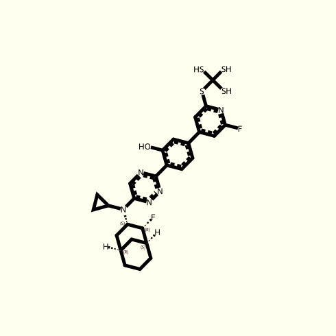 Oc1cc(-c2cc(F)nc(SC(S)(S)S)c2)ccc1-c1ncc(N(C2CC2)[C@H]2C[C@@H]3CCC[C@@H](C3)[C@H]2F)nn1